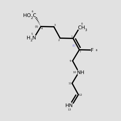 C/C(CC[C@H](N)C(=O)O)=C(\F)CNCC=N